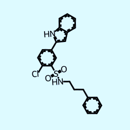 O=S(=O)(NCCCc1ccccc1)c1cc(-c2cc3ccccc3[nH]2)ccc1Cl